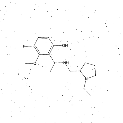 CCN1CCCC1CNC(C)c1c(O)ccc(F)c1OC